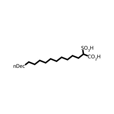 CCCCCCCCCCCCCCCCCCCCC(C(=O)O)S(=O)(=O)O